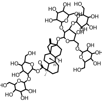 C=C1CC23CCC4[C@](C)(C(=O)OC5OC(CO)C(O)C(O)C5OC5OC(CO)C(O)C(O)C5O)CCC[C@@]4(C)[C@@H]2CCC1(OC1OC(COC2OC(CO)C(O)C(O)C2O)C(O)C(OC2OC(CO)C(O)C(O)C2O)C1OC1OC(CO)C(O)C(O)C1O)C3